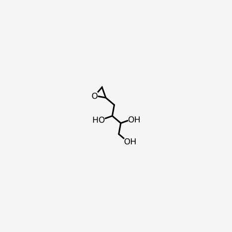 OCC(O)C(O)CC1CO1